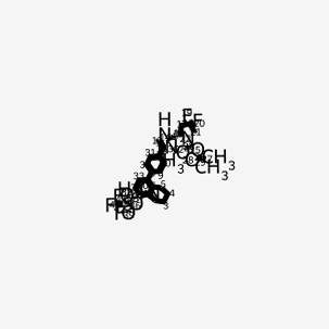 CN1C2CCC1c1c(-c3ccc(-c4c[nH]c([C@@H]5CC(F)(F)CN5C(=O)OC(C)(C)C)n4)cc3)ccc(OS(=O)(=O)C(F)(F)F)c12